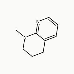 CN1CCCc2cccnc21